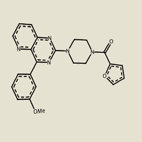 COc1cccc(-c2nc(N3CCN(C(=O)c4ccco4)CC3)nc3cccnc23)c1